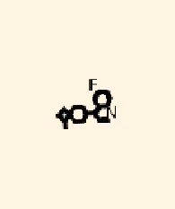 CC1CCC12CCC(c1ccnc3ccc(F)cc13)CC2